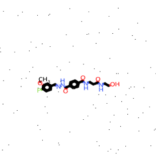 COc1cc(/C=N/NC(=O)c2ccc(C(=O)NCCC(=O)NCCO)cc2)ccc1F